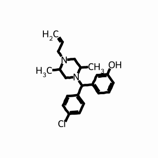 C=CCN1CC(C)N(C(c2ccc(Cl)cc2)c2cccc(O)c2)CC1C